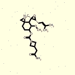 COC1C(OC(=O)N2CC(CC(N)=O)C2)CCC2(CO2)C1[C@@]1(C)O[C@@H]1CC=C(C)C